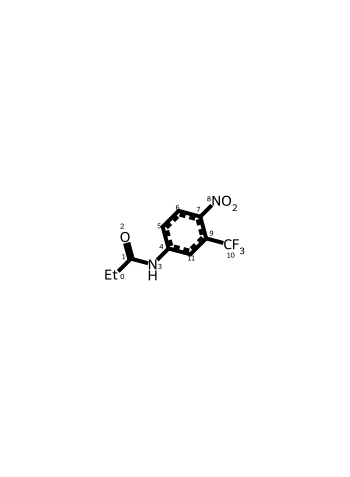 CCC(=O)Nc1ccc([N+](=O)[O-])c(C(F)(F)F)c1